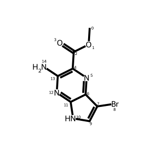 COC(=O)c1nc2c(Br)c[nH]c2nc1N